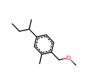 CCC(C)c1ccc(COC)c(C)c1